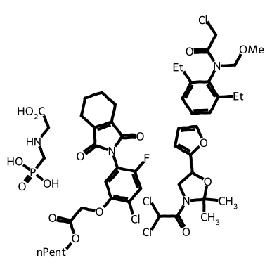 CC1(C)OC(c2ccco2)CN1C(=O)C(Cl)Cl.CCCCCOC(=O)COc1cc(N2C(=O)C3=C(CCCC3)C2=O)c(F)cc1Cl.CCc1cccc(CC)c1N(COC)C(=O)CCl.O=C(O)CNCP(=O)(O)O